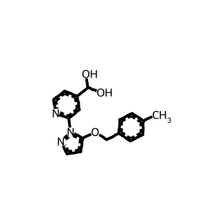 Cc1ccc(COc2ccnn2-c2cc(C(O)O)ccn2)cc1